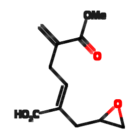 C=C(CC=C(CC1CO1)C(=O)O)C(=O)OC